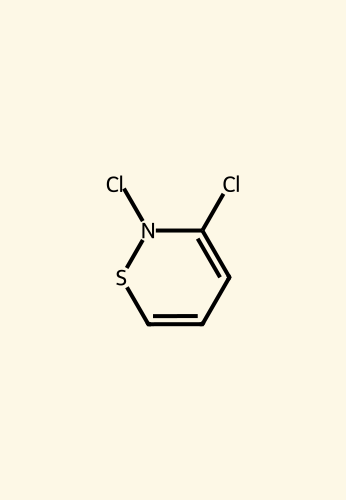 ClC1=CC=CSN1Cl